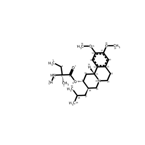 [2H]N[C@@](C)(CC)C(=O)O[C@@H]1C[C@@H]2c3cc(OC)c(OC)cc3CCN2C[C@H]1CC(C)C